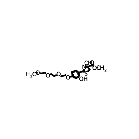 COCCOCCOCCOc1ccc(C2=N[C@@](C)(C(=O)OC)CS2)c(O)c1